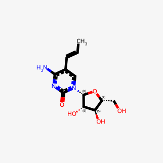 CC=Cc1cn([C@@H]2O[C@H](CO)[C@@H](O)[C@@H]2O)c(=O)nc1N